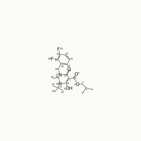 CC(C)COC(=O)C1=C(O)N(C(C)(C)C)C(C)N(Cc2cccc(F)c2F)C1=O